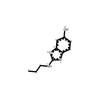 CCCNc1nc2ccc(O)cc2o1